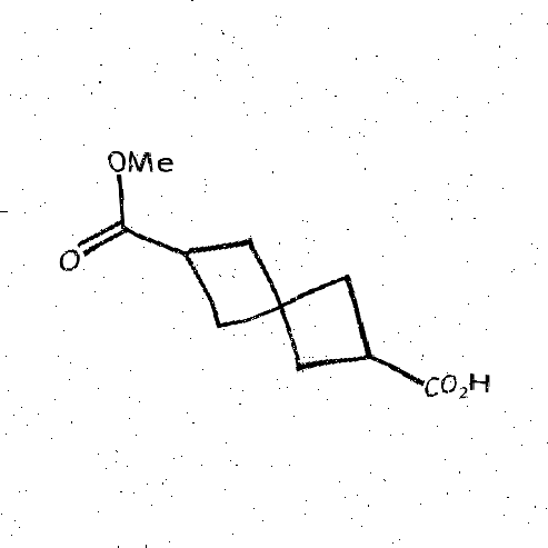 COC(=O)C1CC2(CC(C(=O)O)C2)C1